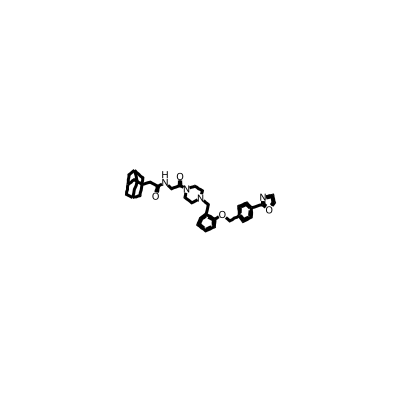 O=C(CC12CC3CC(CC(C3)C1)C2)NCC(=O)N1CCN(Cc2ccccc2OCc2ccc(-c3ncco3)cc2)CC1